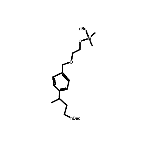 CCCCCCCCCCCCC(C)c1ccc(COCCO[Si](C)(C)CCCC)cc1